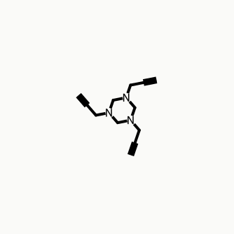 C#CCN1CN(CC#C)CN(CC#C)C1